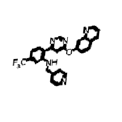 FC(F)(F)c1ccc(-c2cc(Oc3ccc4cccnc4c3)ncn2)c(NCc2ccncc2)c1